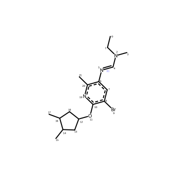 CCN(C)/C=N/c1cc(Br)c(OC2CC(C)C(C)C2)nc1C